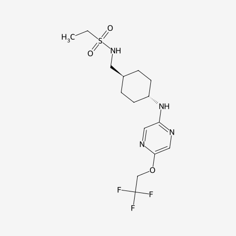 CCS(=O)(=O)NC[C@H]1CC[C@H](Nc2cnc(OCC(F)(F)F)cn2)CC1